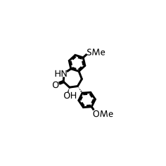 COc1ccc([C@H]2Cc3cc(SC)ccc3NC(=O)[C@H]2O)cc1